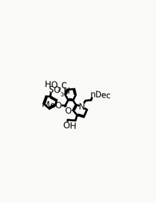 CCCCCCCCCCCCN1CC=C(CCO)C=C1c1ccc(C(=O)O)cc1C(=O)OC.O=S(=O)(O)c1ccccc1